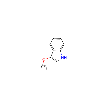 FC(F)(F)Oc1c[nH]c2ccccc12